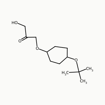 CC(C)(C)OC1CCC(OCC(=O)CO)CC1